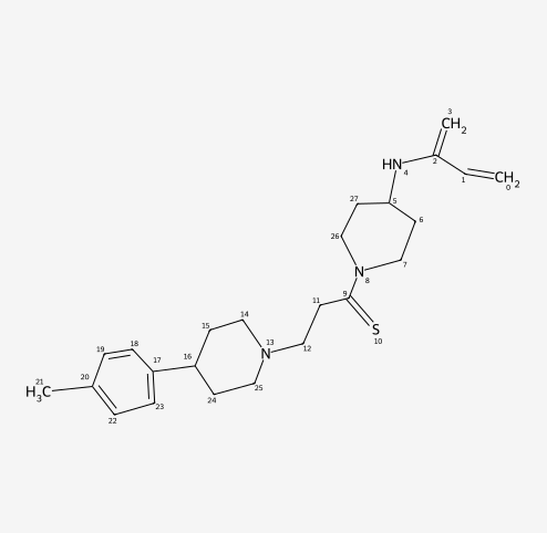 C=CC(=C)NC1CCN(C(=S)CCN2CCC(c3ccc(C)cc3)CC2)CC1